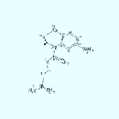 CN(C)C/C=C/C(=O)N1CCOc2ccc(N)cc21